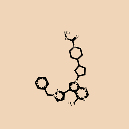 CC(C)(C)OC(=O)N1CCC(C2CCC(n3cc(-c4ccn(Cc5ccccc5)n4)c4c(N)ncnc43)C2)CC1